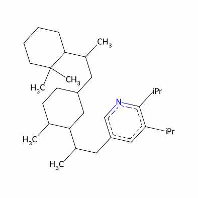 CC(C)c1cc(CC(C)C2CC(CC(C)C3CCCCC3(C)C)CCC2C)cnc1C(C)C